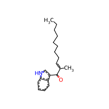 CCCCCCCCC=C(C)C(=O)c1c[nH]c2ccccc12